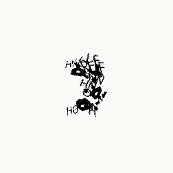 CCN(CCN(C)[C@H]1C2CC3CC1C[C@](O)(C3)C2)c1ccc(Nc2ncc(C(F)(F)F)c(Nc3c(C)cccc3C(=O)NC)n2)c(OC)c1